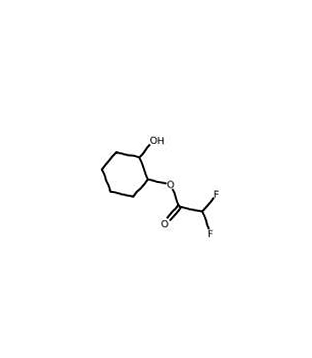 O=C(OC1CCCCC1O)C(F)F